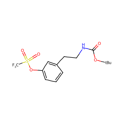 CC(C)(C)OC(=O)NCCc1cccc(OS(=O)(=O)C(F)(F)F)c1